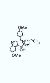 C=CC1C[N+]2(Cc3ccc(OC)cc3)CCC1CC2[C@@H](O)c1ccnc2ccc(OC)cc12